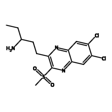 CCC(N)CCc1nc2cc(Cl)c(Cl)cc2nc1S(C)(=O)=O